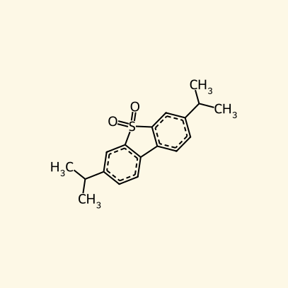 CC(C)c1ccc2c(c1)S(=O)(=O)c1cc(C(C)C)ccc1-2